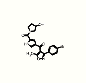 Cc1onc(-c2ccc(Br)cc2)c1C(=O)c1c[nH]c(C(=O)N2CCC(O)C2)c1